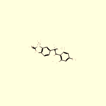 C[C@H](c1ccc(Br)cc1C(F)(F)F)[C@@](O)(c1ccc2oc(=O)n(C)c2c1)C(F)(F)F